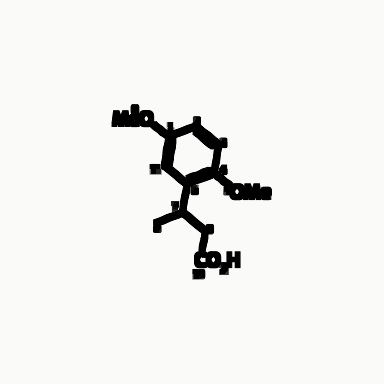 COc1ccc(OC)c(C(C)CC(=O)O)c1